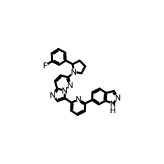 Fc1cccc(C2CCCN2c2ccc3ncc(-c4cccc(-c5ccc6cn[nH]c6c5)n4)n3n2)c1